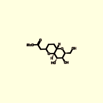 COC(=O)CC1CC[C@@H]2O[C@@H](CO)[C@@H](O)[C@H](O)[C@H]2O1